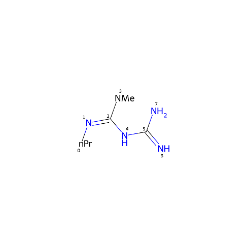 CCCN=C(NC)NC(=N)N